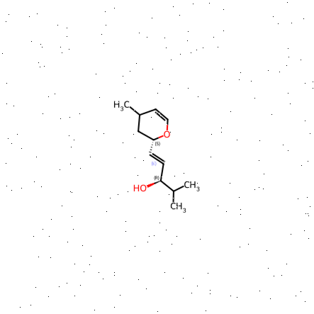 CC1C=CO[C@H](/C=C/[C@H](O)C(C)C)C1